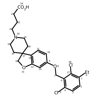 CCc1ccc(Cl)c(COc2ccc3c(c2)OCC32CCN(CCCC(=O)O)CC2)c1Cl